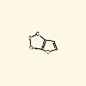 c1cc2c(o1)OSO2